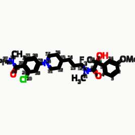 COc1cccc(C(O)(C(=O)N(C)CCCC2CCN(c3ccc(C(=O)N(C)C(C)C)c(Cl)c3)CC2)C(F)(F)F)c1